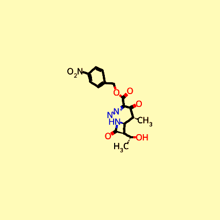 C[C@@H](O)[C@H]1C(=O)N[C@H]1[C@@H](C)C(=O)C(=[N+]=[N-])C(=O)OCc1ccc([N+](=O)[O-])cc1